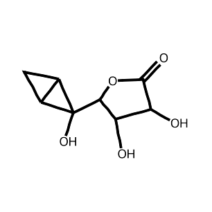 O=C1OC(C2(O)C3CC32)C(O)C1O